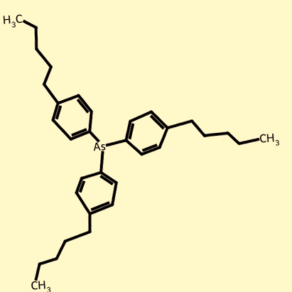 CCCCCc1ccc([As](c2ccc(CCCCC)cc2)c2ccc(CCCCC)cc2)cc1